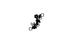 Cc1sc(C2CCCN2C(=O)CCl)cc1C(=O)Nc1ncc(Cl)s1